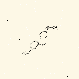 CCc1ccc(C2CCC(NC)CC2)c(Br)c1